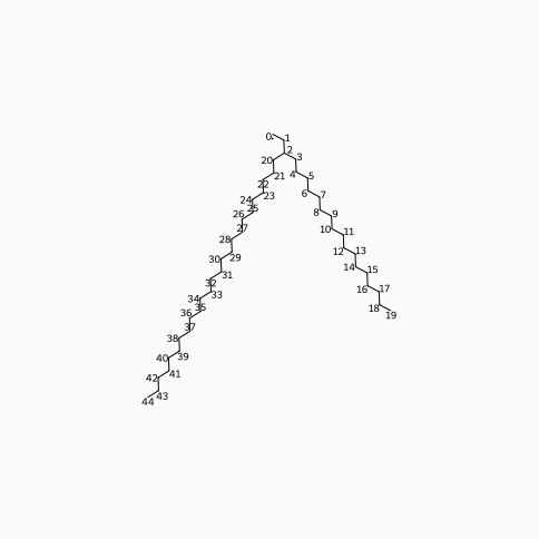 [CH2]CC(CCCCCCCCCCCCCCCCC)CCCCCCCCCCCCCCCCCCCCCCCCC